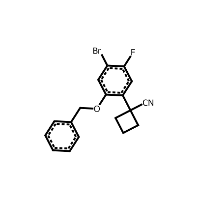 N#CC1(c2cc(F)c(Br)cc2OCc2ccccc2)CCC1